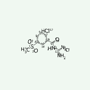 CS(=O)(=O)c1cccc(C(=O)NC(N)=NCl)c1.Cl